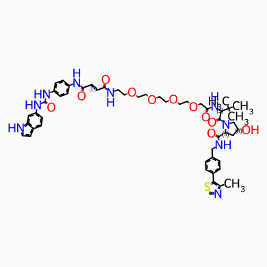 Cc1ncsc1-c1ccc(CNC(=O)[C@@H]2C[C@@H](O)CN2C(=O)[C@@H](NC(=O)COCCOCCOCCOCCNC(=O)/C=C/C(=O)Nc2ccc(NC(=O)Nc3ccc4cc[nH]c4c3)cc2)C(C)(C)C)cc1